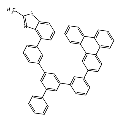 Cc1nc2c(-c3cccc(-c4cc(-c5ccccc5)cc(-c5cccc(-c6ccc7c8ccccc8c8ccccc8c7c6)c5)c4)c3)cccc2s1